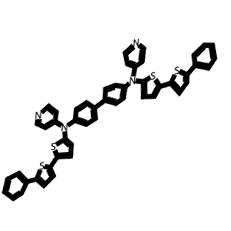 c1ccc(-c2ccc(-c3ccc(N(c4ccncc4)c4ccc(-c5ccc(N(c6ccncc6)c6ccc(-c7ccc(-c8ccccc8)s7)s6)cc5)cc4)s3)s2)cc1